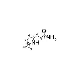 NC([O])CCC1CCC2(CC2)N1